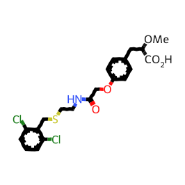 COC(Cc1ccc(OCC(=O)NCCSCc2c(Cl)cccc2Cl)cc1)C(=O)O